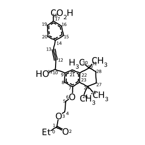 CCC(=O)OCCOc1cc(C(O)C#Cc2ccc(C(=O)O)cc2)cc2c1C(C)(C)CCC2(C)C